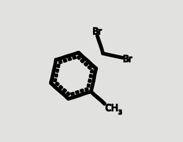 BrCBr.Cc1ccccc1